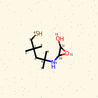 CC(C)(CS)CC(C)(C)NC1OC1O